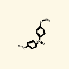 CC(C)(C)Oc1ccc([PH](=O)c2ccc(OC(C)(C)C)cc2)cc1